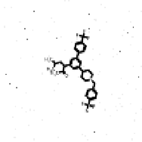 CC(=O)C(CC(C)C)c1cc(-c2ccc(C(F)(F)F)cc2)cc(C2CCN(Cc3ccc(C(F)(F)F)cc3)CC2)c1